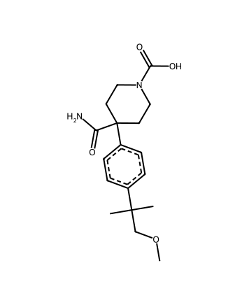 COCC(C)(C)c1ccc(C2(C(N)=O)CCN(C(=O)O)CC2)cc1